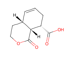 O=C1OCC[C@@H]2C=CC[C@H](C(=O)O)[C@H]12